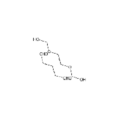 O=CCCCC=O.OCOCCOCO